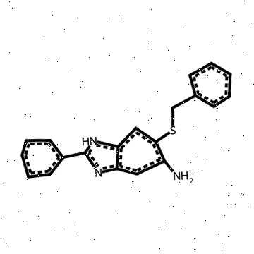 Nc1cc2nc(-c3ccccc3)[nH]c2cc1SCc1ccccc1